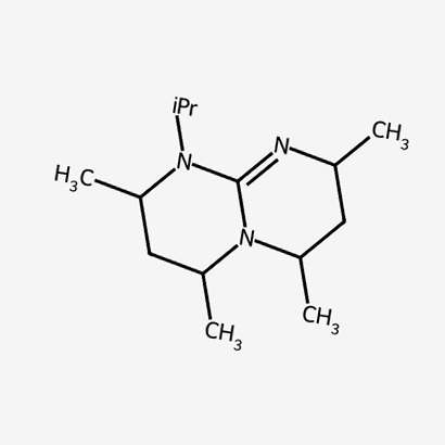 CC1CC(C)N2C(=N1)N(C(C)C)C(C)CC2C